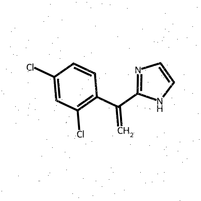 C=C(c1ncc[nH]1)c1ccc(Cl)cc1Cl